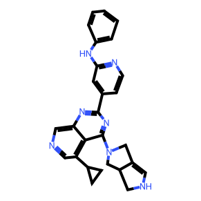 C1=C2CN(c3nc(-c4ccnc(Nc5ccccc5)c4)nc4cncc(C5CC5)c34)CC2CN1